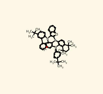 Cc1cc2c3c(c1)N(c1ccc(C(C)(C)C)cc1-c1ccccc1)c1c(oc4ccccc14)B3c1ccc3c(c1N2c1ccc(C(C)(C)C)cc1)C(C)(C)CCC3(C)C